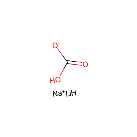 O=C([O-])O.[LiH].[Na+]